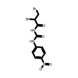 O=C(NC(=O)C(Br)CBr)Nc1ccc([N+](=O)[O-])cc1